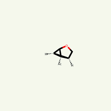 CC(=O)[C@]12C3OC[C@@H]1[C@H]32